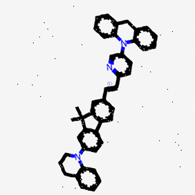 CC1(C)c2cc(/C=C/c3ccc(N4c5ccccc5Cc5ccccc54)cn3)ccc2-c2ccc(N3CCCc4ccccc43)cc21